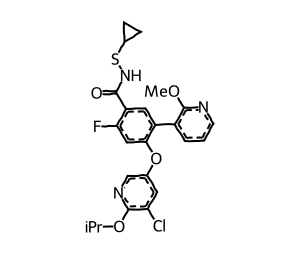 COc1ncccc1-c1cc(C(=O)NSC2CC2)c(F)cc1Oc1cnc(OC(C)C)c(Cl)c1